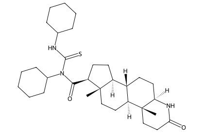 C[C@]12CCC(=O)N[C@@H]1CC[C@@H]1[C@@H]2CC[C@]2(C)[C@@H](C(=O)N(C(=S)NC3CCCCC3)C3CCCCC3)CC[C@@H]12